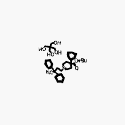 CCCCOC(=O)C1(c2ccccc2)CCN(CCC(C#N)(c2ccccc2)c2ccccc2)CC1.OCC(CO)(CO)CO